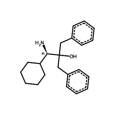 N[C@H](C1CCCCC1)C(O)(Cc1ccccc1)Cc1ccccc1